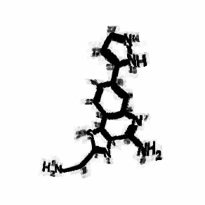 NCc1nc2c(N)nc3cc(-c4ccn[nH]4)ccc3c2s1